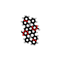 CC(C)c1cc2c3c(cc4c(C(C)C)cc5c6c(cc1c3c46)B(c1c(-c3ccccc3)cccc1-c1ccccc1)c1ccccc1-5)B(c1c(-c3ccccc3)cccc1-c1ccccc1)c1ccccc1-2